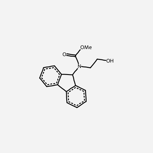 COC(=O)N(CCO)C1c2ccccc2-c2ccccc21